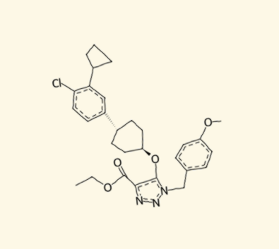 CCOC(=O)c1nnn(Cc2ccc(OC)cc2)c1O[C@H]1CC[C@H](c2ccc(Cl)c(C3CCC3)c2)CC1